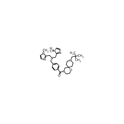 Cn1ccnc1CN(Cc1ccc(C(=O)N2CCOC3(CCN(CC(C)(C)C)CC3)C2)cc1)Cc1nccn1C